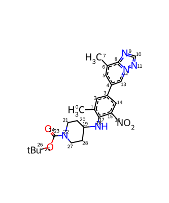 Cc1cc(-c2cc(C)c3ncnn3c2)cc([N+](=O)[O-])c1NC1CCN(C(=O)OC(C)(C)C)CC1